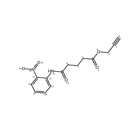 C#CCOC(=O)CCCC(=O)Nc1ccccc1[N+](=O)[O-]